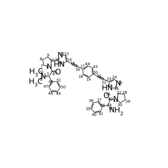 CN(C)[C@@H](C(=O)N1CCC[C@H]1c1ncc(C#Cc2ccc(C#Cc3cnc([C@@H]4CCCN4C(=O)[C@H](N)c4ccccc4)[nH]3)cc2)[nH]1)c1ccccc1